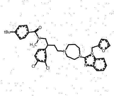 CN(CC(CCN1CCCN(c2nc3ccccc3n2Cc2ccco2)CC1)c1ccc(Cl)c(Cl)c1)C(=O)c1ccc(C(C)(C)C)cc1